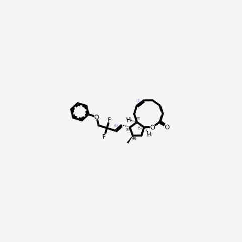 C[C@@H]1C[C@@H]2OC(=O)CCC/C=C\C[C@@H]2[C@H]1/C=C/C(F)(F)COc1ccccc1